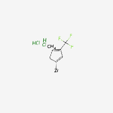 C.Cl.Cl.FC(F)(F)C1=CC[C]([Zr])=C1